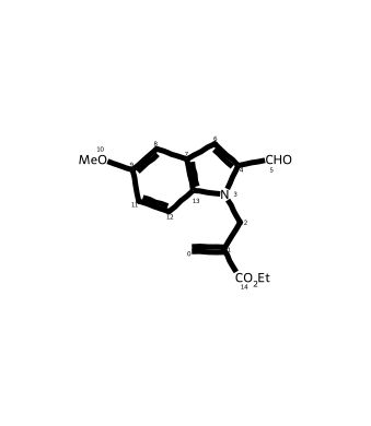 C=C(Cn1c(C=O)cc2cc(OC)ccc21)C(=O)OCC